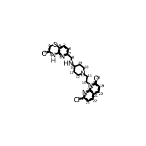 O=C1CSc2ccc(CNC3CCN(CCn4c(=O)ccc5ccc(Cl)nc54)CC3)nc2N1